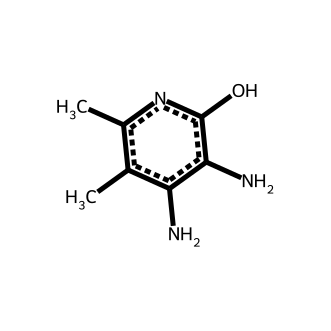 Cc1nc(O)c(N)c(N)c1C